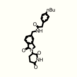 CCCCc1ccc(CC(=O)NCc2ccc3c(c2)CN(C2CCC(=O)NC2=O)C3=O)cc1